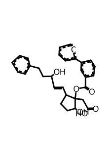 O=C(O)CC1(OC(=O)c2cccc(-c3ccccc3)c2)C(O)CCC1C=CC(O)CCc1ccccc1